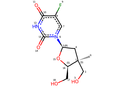 C[C@@]1(CO)C[C@H](n2cc(F)c(=O)[nH]c2=O)O[C@@H]1CO